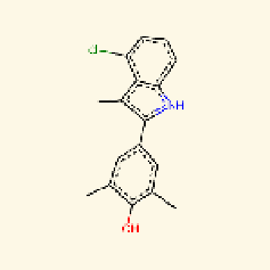 Cc1cc(-c2[nH]c3cccc(Cl)c3c2C)cc(C)c1O